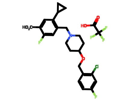 O=C(O)C(F)(F)F.O=C(O)c1cc(C2CC2)c(CN2CCC(OCc3ccc(F)cc3Cl)CC2)cc1F